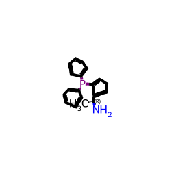 C[C@@H](N)C1=CCC=C1P(c1ccccc1)c1ccccc1